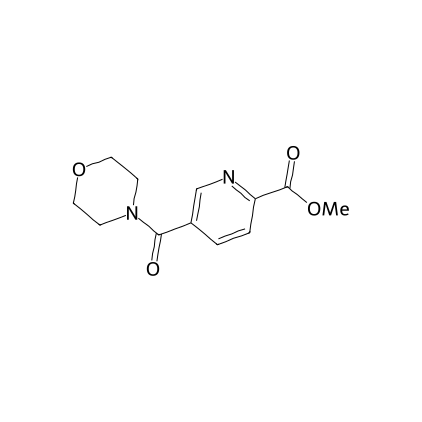 COC(=O)c1ccc(C(=O)N2CCOCC2)cn1